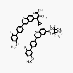 COc1ccc(F)c(-c2ccc(C3=Cc4cc(B5OC(C)(C)C(C)(C)O5)ccc4SC3)cc2)c1.COc1ccc(F)c(-c2ccc(C3=Cc4cc(C(=C(C)C(=O)O)C5CC5)ccc4SC3)cc2)c1